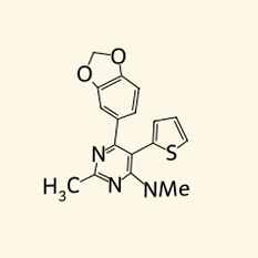 CNc1nc(C)nc(-c2ccc3c(c2)OCO3)c1-c1cccs1